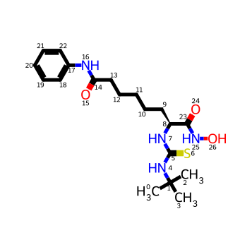 CC(C)(C)NC(=S)N[C@@H](CCCCCC(=O)Nc1ccccc1)C(=O)NO